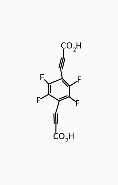 O=C(O)C#Cc1c(F)c(F)c(C#CC(=O)O)c(F)c1F